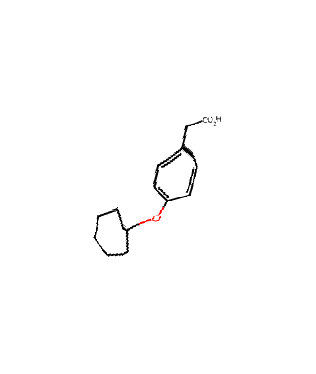 O=C(O)Cc1ccc(OC2CCCCC2)cc1